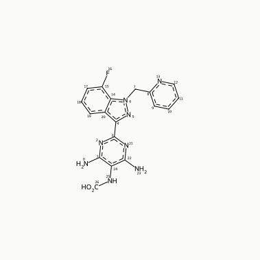 Nc1nc(-c2nn(Cc3ccccn3)c3c(F)cccc23)nc(N)c1NC(=O)O